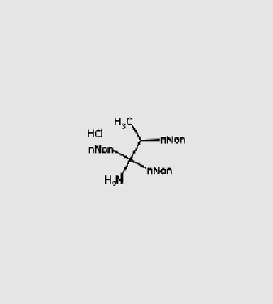 CCCCCCCCCC(C)C(N)(CCCCCCCCC)CCCCCCCCC.Cl